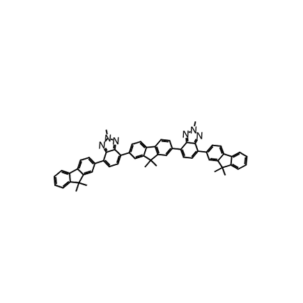 Cn1nc2c(-c3ccc4c(c3)C(C)(C)c3ccccc3-4)ccc(-c3ccc4c(c3)C(C)(C)c3cc(-c5ccc(-c6ccc7c(c6)C(C)(C)c6ccccc6-7)c6nn(C)nc56)ccc3-4)c2n1